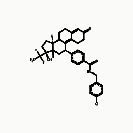 CC12C[C@H](c3ccc(C(=O)NCc4ccc(Cl)cc4)cc3)C3=C4CCC(=O)C=C4CCC3[C@@H]1CC[C@@]2(O)C(F)(F)C(F)(F)F